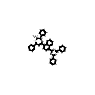 C[C@H]1N=C(c2ccccc2)C=C(c2ccc(-c3nc(-c4ccccc4)nc(-c4ccccc4)n3)c3ccccc23)N=C1c1ccccc1